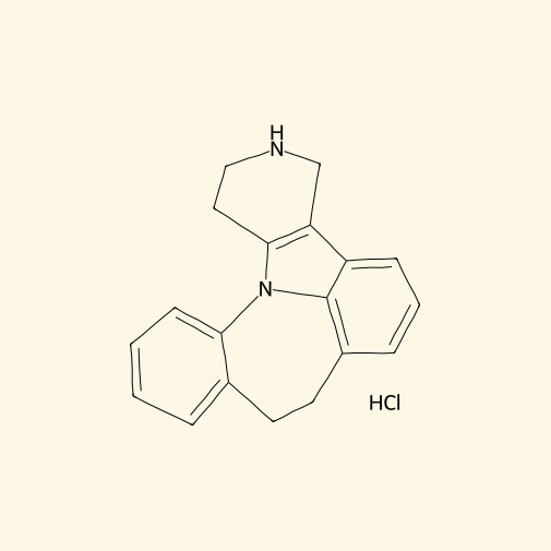 Cl.c1ccc2c(c1)CCc1cccc3c4c(n-2c13)CCNC4